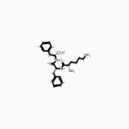 NCCCC[C@H](N)C(=O)N[C@@H](Cc1ccccc1)C(=O)N[C@H](Cc1ccccc1)C(=O)O